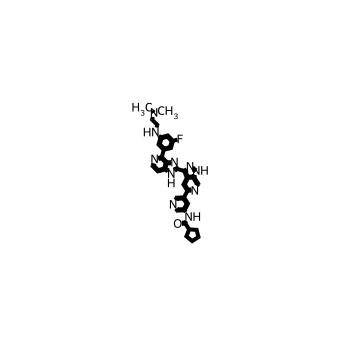 CN(C)CCNc1cc(F)cc(-c2nccc3[nH]c(-c4n[nH]c5cnc(-c6cncc(NC(=O)C7CCCC7)c6)cc45)nc23)c1